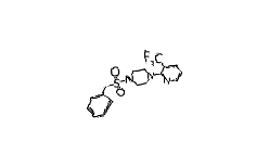 O=S(=O)(Cc1ccccc1)N1CCN(c2ncccc2C(F)(F)F)CC1